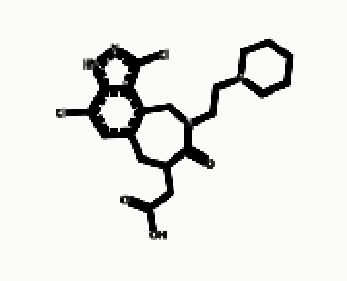 O=C(O)CC1Cc2cc(Cl)c3[nH]nc(Cl)c3c2CN(CCN2CCCCC2)C1=O